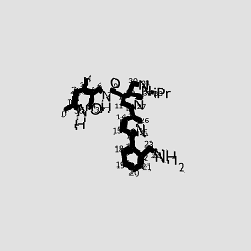 Cc1cc(C)c(CNC(=O)c2cc(-c3ccc(-c4ccccc4CN)nc3)nc3c2cnn3C(C)C)c(=O)[nH]1